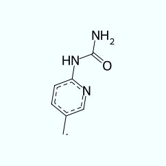 [CH2]c1ccc(NC(N)=O)nc1